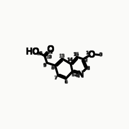 COc1cnc2ccc(CC(=O)O)cc2c1